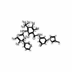 [2H]c1nc(Nc2c([2H])c(C(=O)Nc3cc(C)cc(-n4ccc(C)c4)c3)c([2H])c([2H])c2C([2H])([2H])[2H])nc(-c2cccnc2)c1[2H]